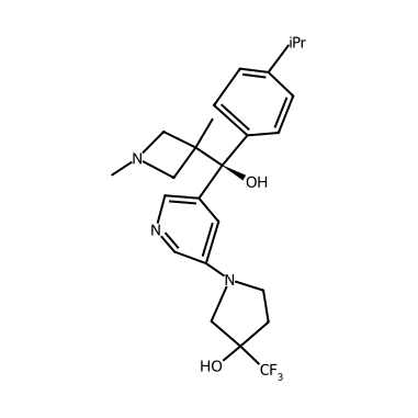 CC(C)c1ccc([C@](O)(c2cncc(N3CCC(O)(C(F)(F)F)C3)c2)C2(C)CN(C)C2)cc1